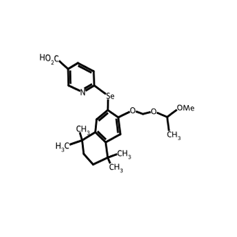 COC(C)OCOc1cc2c(cc1[Se]c1ccc(C(=O)O)cn1)C(C)(C)CCC2(C)C